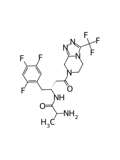 CC(N)C(=O)N[C@@H](CC(=O)N1CCn2c(nnc2C(F)(F)F)C1)Cc1cc(F)c(F)cc1F